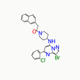 O=C(Cc1ccc2ccccc2c1)N1CCC(Nc2cc(-c3ccccc3Cl)nc3c(Br)cnn23)CC1